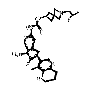 Cc1c(-c2cc3cc(NC(=O)OC4CC5(C4)CN(CC(F)F)C5)ncc3c(N)c2F)cnc2c1NCCC2